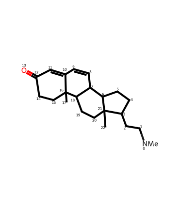 CNCCC1CCC2C3C=CC4=CC(=O)CCC4(C)C3CCC12C